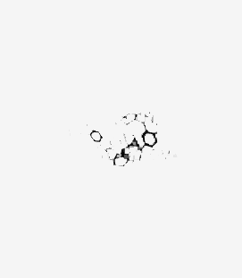 COc1cc(F)c(C2=NOC3COCC23)cc1C(=O)N[C@H]1[C@@H](C(=O)Nc2ccc(F)c(C(F)(F)F)c2)[C@H]2CC[C@@H]1/C2=C\C1CC1